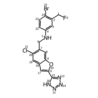 FCc1cc(NCc2cc3oc(-c4nnn[nH]4)cc3cc2Cl)ccc1Br